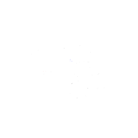 c1ccc(-c2ccccc2N(c2ccc3oc4ccccc4c3c2)c2ccc3c4ccccc4c4ccccc4c3c2)cc1